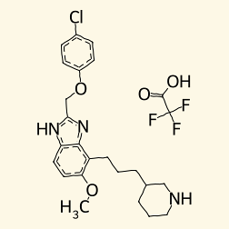 COc1ccc2[nH]c(COc3ccc(Cl)cc3)nc2c1CCCC1CCCNC1.O=C(O)C(F)(F)F